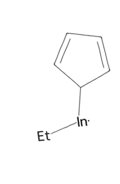 C[CH2][In][CH]1C=CC=C1